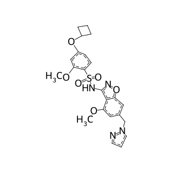 COc1cc(OC2CCC2)ccc1S(=O)(=O)Nc1noc2cc(Cn3cccn3)cc(OC)c12